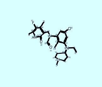 CCN(c1cc(Cl)cc(N(C=O)Cc2c(C)c(F)c(C)[nH]c2=O)c1C)C1CCN(C)CC1